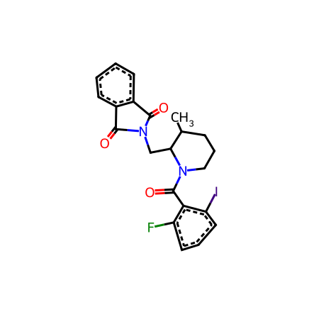 CC1CCCN(C(=O)c2c(F)cccc2I)C1CN1C(=O)c2ccccc2C1=O